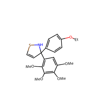 CCOc1ccc(C2(c3cc(OC)c(OC)c(OC)c3OC)C=CSN2)cc1